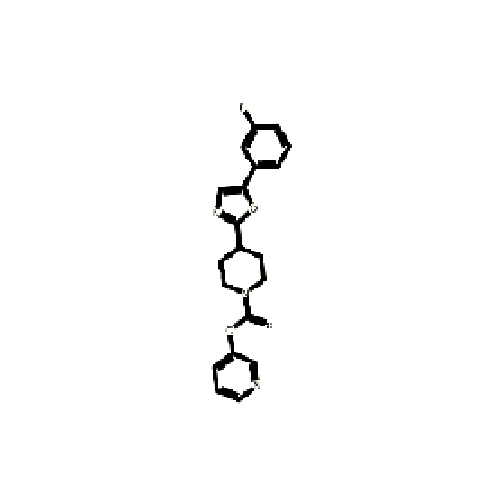 O=C(Oc1cccnc1)N1CCC(c2ncc(-c3cccc(F)c3)o2)CC1